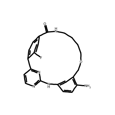 Nc1ccc2cc1COCCCCNC(=O)c1ccc(c(F)c1)-c1ccnc(n1)N2